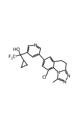 Cc1nnc2n1-c1c(Cl)cc(-c3cncc(C(O)(C4CC4)C(F)(F)F)c3)cc1CC2